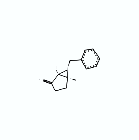 O=C1CC[C@H]2[C@H](Cc3ccccc3)[C@@H]12